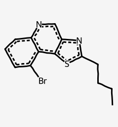 CCCCc1nc2cnc3cccc(Br)c3c2s1